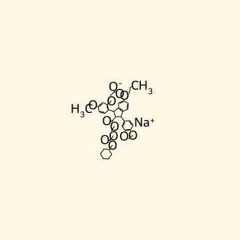 CCCOc1ccc2c(c1)C(c1ccc(OC)cc1OCC(=O)[O-])C(C(=O)OCOC(=O)OC1CCCCC1)C2c1ccc2c(c1)OCO2.[Na+]